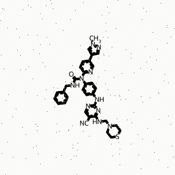 Cn1cc(-c2ccc(N(C(=O)NCc3ccccc3)c3ccc(Nc4ncc(C#N)c(NCN5CCSCC5)n4)cc3)nc2)cn1